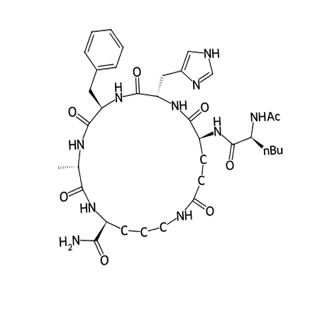 CCCC[C@H](NC(C)=O)C(=O)N[C@H]1CCC(=O)NCCC[C@@H](C(N)=O)NC(=O)[C@H](C)NC(=O)[C@@H](Cc2ccccc2)NC(=O)[C@H](Cc2c[nH]cn2)NC1=O